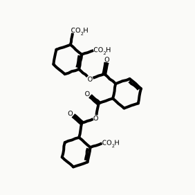 O=C(O)C1=CCCCC1C(=O)OC(=O)C1CCC=CC1C(=O)OC1=C(C(=O)O)C(C(=O)O)CCC1